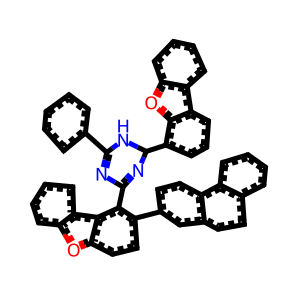 c1ccc(C2=NC(c3c(-c4ccc5c(ccc6ccccc65)c4)ccc4oc5ccccc5c34)=NC(c3cccc4c3oc3ccccc34)N2)cc1